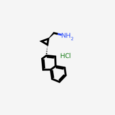 Cl.NC[C@@H]1C[C@H]1c1ccc2ccccc2c1